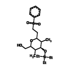 CC[Si](CC)(CC)O[C@H]1C(C)C(CO)OC(CCS(=O)(=O)c2ccccc2)C1C